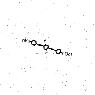 CCCCCCCCc1ccc(C#Cc2cc(F)c(C#Cc3ccc(CCCC)cc3)cc2F)cc1